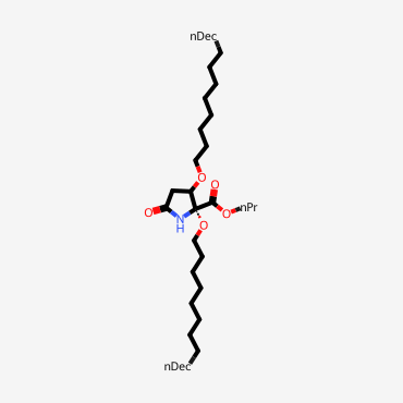 CCCCCCCCCCCCCCCCCCOC1CC(=O)N[C@]1(OCCCCCCCCCCCCCCCCCC)C(=O)OCCC